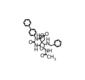 CC(=O)NCC(NCc1ccccc1)C1(CC(=O)O)C(=O)NC(=O)N(c2ccc(-c3ccccc3)cc2)C1=O